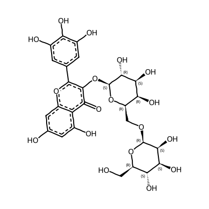 O=c1c(O[C@@H]2O[C@H](CO[C@@H]3O[C@H](CO)[C@@H](O)[C@H](O)[C@@H]3O)[C@H](O)[C@H](O)[C@H]2O)c(-c2cc(O)c(O)c(O)c2)oc2cc(O)cc(O)c12